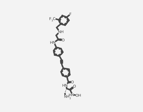 NC[C@H](NC(=O)c1ccc(C#Cc2ccc(NC(=O)CNCc3ccc(F)cc3C(F)(F)F)cc2)cc1)C(=O)NO